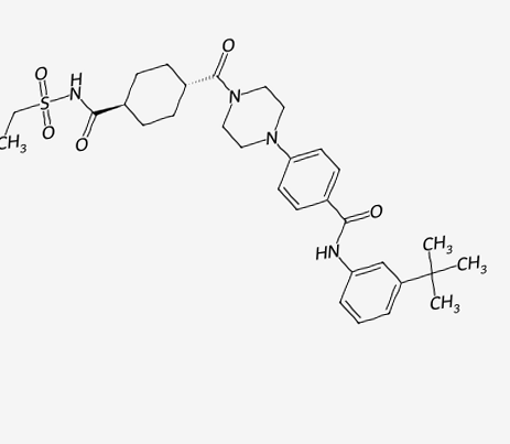 CCS(=O)(=O)NC(=O)[C@H]1CC[C@H](C(=O)N2CCN(c3ccc(C(=O)Nc4cccc(C(C)(C)C)c4)cc3)CC2)CC1